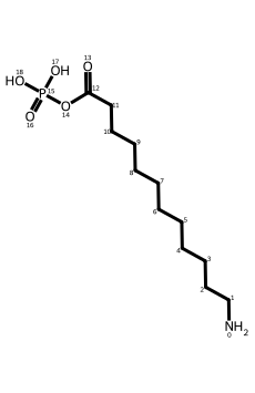 NCCCCCCCCCCCC(=O)OP(=O)(O)O